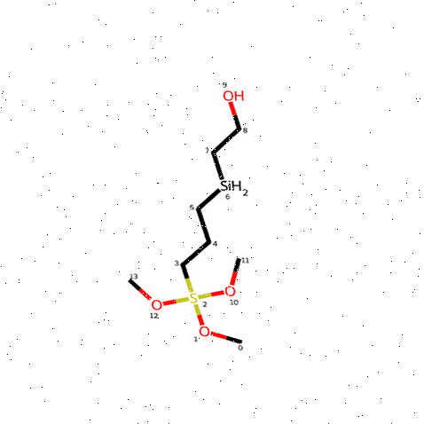 COS(CCC[SiH2]CCO)(OC)OC